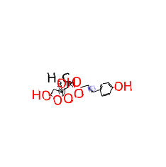 C[C@H](C[C@]1(O)CC(O)OC1=O)OC(=O)/C=C/c1ccc(O)cc1